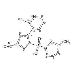 Cc1cccc(S(=O)(=O)c2cc(C=O)nn2-c2cccnc2F)c1